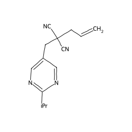 C=CCC(C#N)(C#N)Cc1cnc(C(C)C)nc1